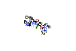 CCC(=O)N[C@@H](C(=O)N1CCSCC1)C(C)c1ccc(NC(=O)C(CCCC(C)CC)NC(=O)c2ccnn2CC)c(F)c1